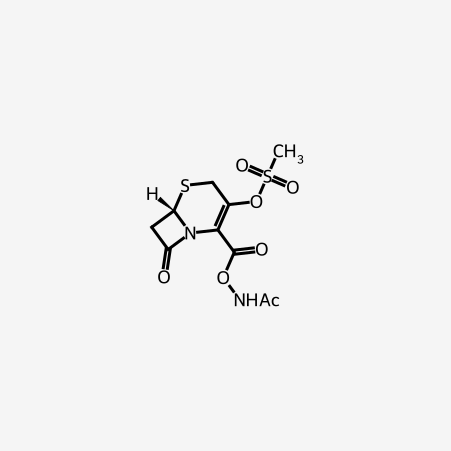 CC(=O)NOC(=O)C1=C(OS(C)(=O)=O)CS[C@H]2CC(=O)N12